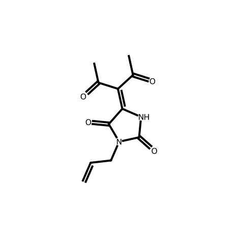 C=CCN1C(=O)NC(=C(C(C)=O)C(C)=O)C1=O